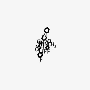 CC1(NC(=O)[C@@H]2CN(C3CCCCC3)CC[C@H]2NC(=O)c2cc(-c3ccc(F)cc3F)on2)CC(F)(F)C1